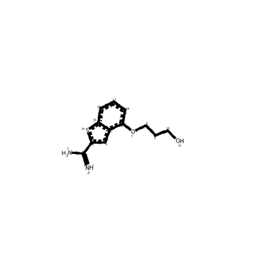 N=C(N)c1cc2c(OCCCO)cccc2s1